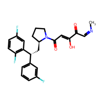 C/N=C\C(=O)/C(O)=C/C(=O)N1CCC[C@@H]1C[C@H](c1cccc(F)c1)c1cc(F)ccc1F